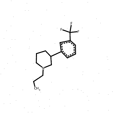 CCCN1CCCC(c2cccc(C(F)(F)F)c2)C1